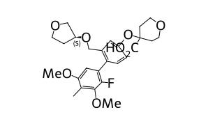 COc1cc(-c2ccc(OC3(C(=O)O)CCOCC3)cc2CO[C@H]2CCOC2)c(F)c(OC)c1C